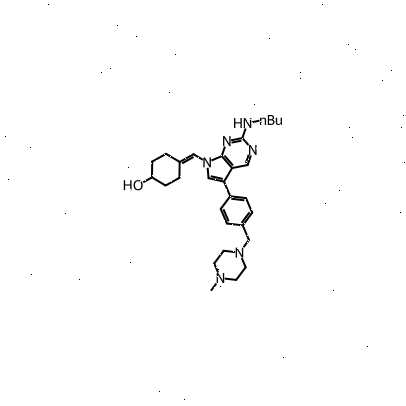 CCCCNc1ncc2c(-c3ccc(CN4CCN(C)CC4)cc3)cn(C=C3CCC(O)CC3)c2n1